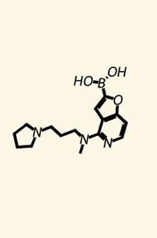 CN(CCCN1CCCC1)c1nccc2oc(B(O)O)cc12